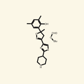 CC(C)(C)OC=O.Cc1cc(C)c(O)c(C2(C)CC(c3csc(C4CCNCC4)n3)=NO2)c1